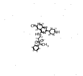 CN(c1ccccc1)S(=O)(=O)CCNc1nc(C2CCNCC2)nc2cnc(Cl)cc12